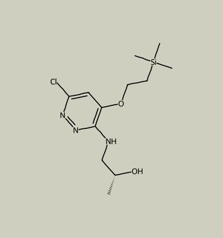 C[C@@H](O)CNc1nnc(Cl)cc1OCC[Si](C)(C)C